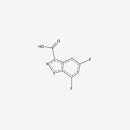 O=C(O)c1nsc2c(F)cc(F)cc12